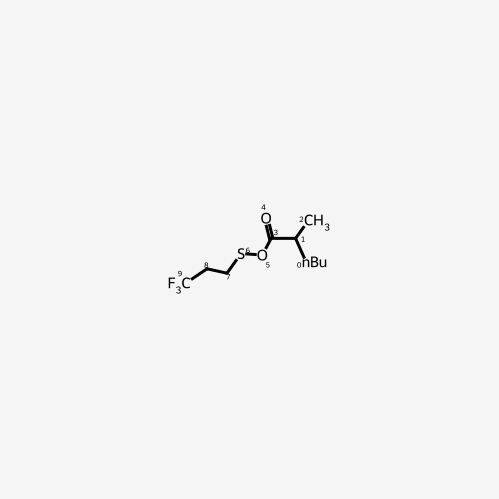 CCCCC(C)C(=O)OSCCC(F)(F)F